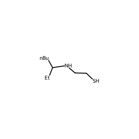 CCCCC(CC)NCCS